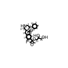 C[C@@H]1NC[C@@H](c2ccccc2)S(=O)(=O)C1Cc1cc(F)c(C2(OCC(O)CO)COC2)cc1F